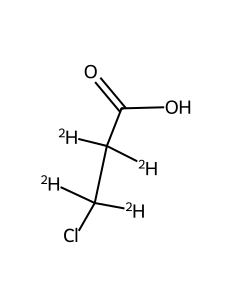 [2H]C([2H])(Cl)C([2H])([2H])C(=O)O